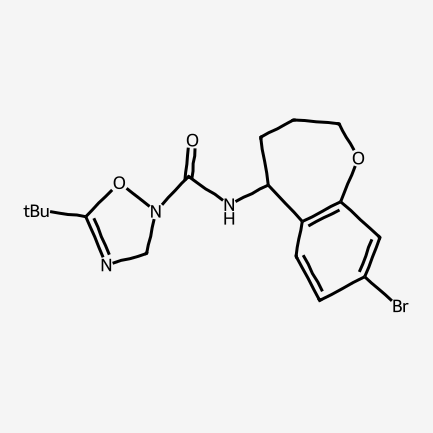 CC(C)(C)C1=NCN(C(=O)NC2CCCOc3cc(Br)ccc32)O1